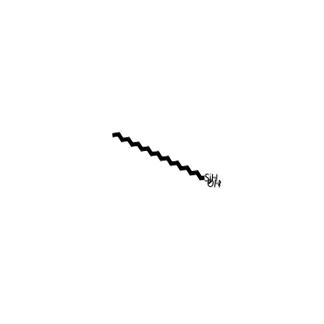 CCCCCCCCCCCCCCCCCCC[SiH2]O